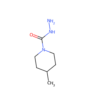 CC1CCN(C(=O)NN)CC1